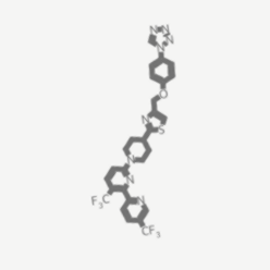 FC(F)(F)c1ccc(-c2nc(N3CCC(c4nc(COc5ccc(-n6cnnn6)cc5)cs4)CC3)ccc2C(F)(F)F)nc1